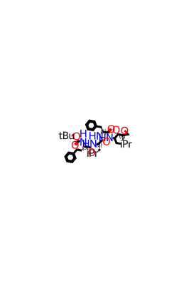 CC(C)CC(NC(=O)[C@H](Cc1ccccc1)NC(=O)[C@H](CC(C)C)NC(=O)[C@H](CCc1ccccc1)NC(=O)OC(C)(C)C)C(=O)[C@@]1(C)CO1